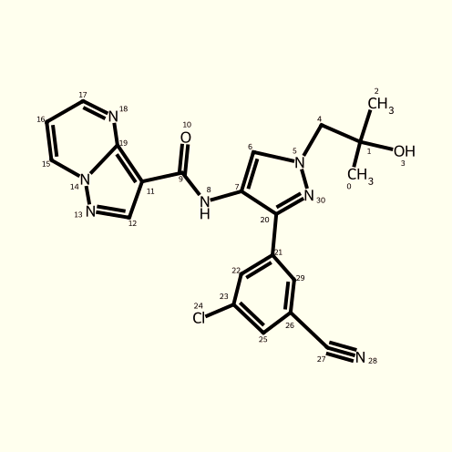 CC(C)(O)Cn1cc(NC(=O)c2cnn3cccnc23)c(-c2cc(Cl)cc(C#N)c2)n1